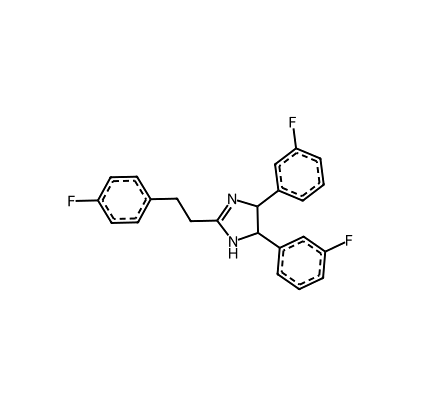 Fc1ccc(CCC2=NC(c3cccc(F)c3)C(c3cccc(F)c3)N2)cc1